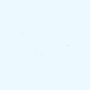 COc1ccc(C(=O)N2CCC(CN3CCNCC3)CC2)cc1N1CCC(=O)NC1=O